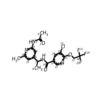 CC(=O)Nc1cc(C(C)NC(=O)c2cnc(OCC(F)(F)F)c(Cl)c2)cc(C)n1